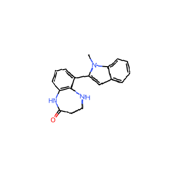 Cn1c(-c2cccc3c2NCCC(=O)N3)cc2ccccc21